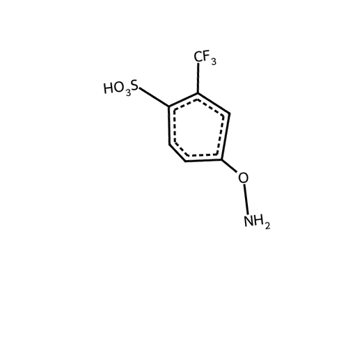 NOc1ccc(S(=O)(=O)O)c(C(F)(F)F)c1